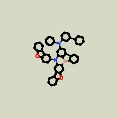 c1ccc(-c2cccc(N(c3ccccc3)c3cc4c5c(c3)N(c3ccc6oc7ccccc7c6c3)c3cc6c(cc3B5c3ccccc3-4)oc3ccccc36)c2)cc1